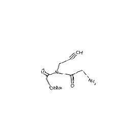 C#CCN(C(=O)CN)C(=O)OC